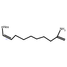 C=C(N)CCCCCC/C=C\CCCCCC